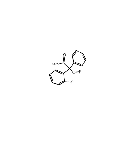 O=C(O)C(OF)(c1ccccc1)c1ccccc1F